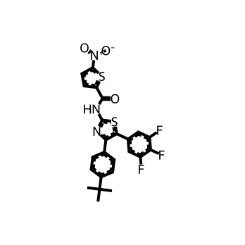 CC(C)(C)c1ccc(-c2nc(NC(=O)c3ccc([N+](=O)[O-])s3)sc2-c2cc(F)c(F)c(F)c2)cc1